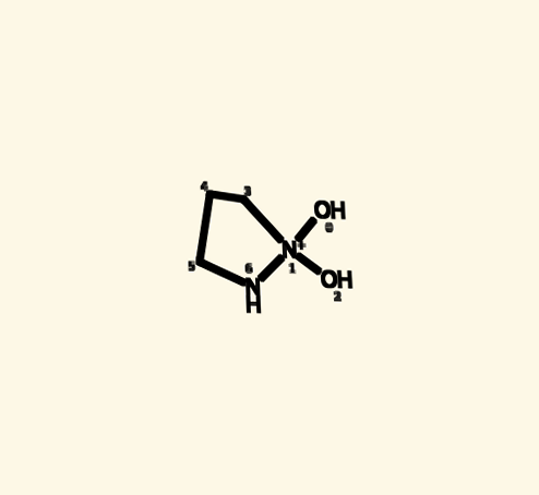 O[N+]1(O)CCCN1